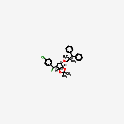 CC1(C)O[C@H]2[C@H](O1)[C@@H](C(F)c1ccc(Cl)cc1)C[C@@H]2OCC(C)(C)[SiH](c1ccccc1)c1ccccc1